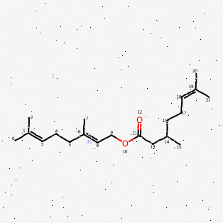 CC(C)=CCC/C(C)=C/COC(=O)CC(C)CCC=C(C)C